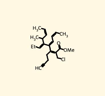 C#CCCC(/C(=C/C=C\C)C(=CCC)C(C)/C=C\C)=C(\CCl)C(=O)OC